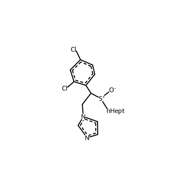 CCCCCCC[S+]([O-])C(Cn1ccnc1)c1ccc(Cl)cc1Cl